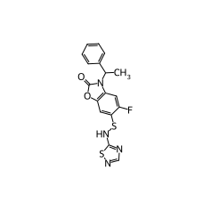 CC(c1ccccc1)n1c(=O)oc2cc(SNc3ncns3)c(F)cc21